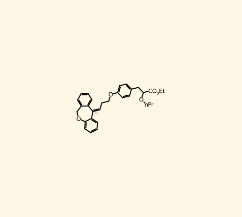 CCCOC(Cc1ccc(OCC/C=C2\c3ccccc3COc3ccccc32)cc1)C(=O)OCC